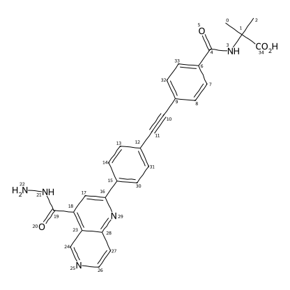 CC(C)(NC(=O)c1ccc(C#Cc2ccc(-c3cc(C(=O)NN)c4cnccc4n3)cc2)cc1)C(=O)O